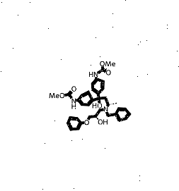 COC(=O)Nc1ccc(C(O)(C[C@H](C)N(Cc2ccccc2)C[C@H](O)COc2ccccc2)c2ccc(NC(=O)OC)cc2)cc1